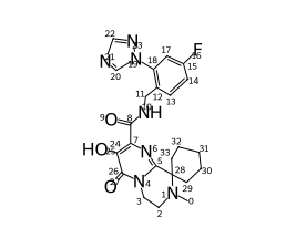 CN1CCn2c(nc(C(=O)NCc3ccc(F)cc3-n3cncn3)c(O)c2=O)C12CCCCC2